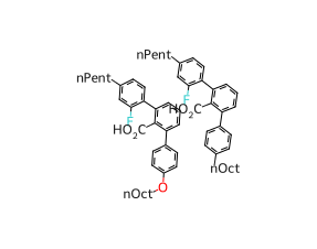 CCCCCCCCOc1ccc(-c2cccc(-c3ccc(CCCCC)cc3F)c2C(=O)O)cc1.CCCCCCCCc1ccc(-c2cccc(-c3ccc(CCCCC)cc3F)c2C(=O)O)cc1